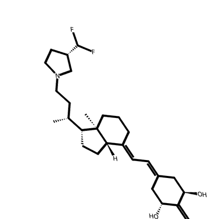 C=C1[C@H](O)CC(=C/C=C2\CCC[C@]3(C)[C@@H]([C@H](C)CCN4CC[C@H](C(F)F)C4)CC[C@@H]23)C[C@H]1O